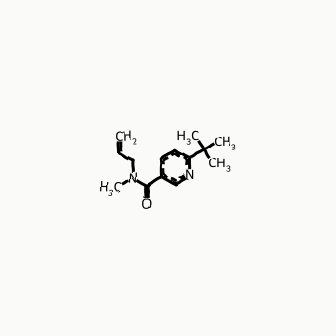 C=CCN(C)C(=O)c1ccc(C(C)(C)C)nc1